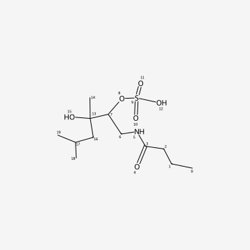 CCCC(=O)NCC(OS(=O)(=O)O)C(C)(O)CC(C)C